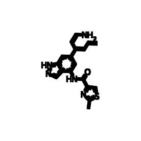 C=C/C=C(\C=C/N)c1cc(NC(=O)c2csc(C)n2)c2cn[nH]c2c1